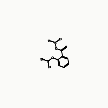 CCN(CC)OC(=O)c1ccccc1ON(CC)CC